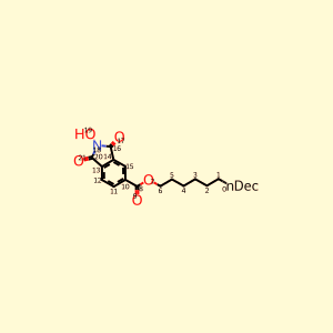 CCCCCCCCCCCCCCCCOC(=O)c1ccc2c(c1)C(=O)N(O)C2=O